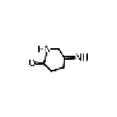 N=C1CCC(=O)NC1